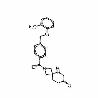 O=C1CCC2(CN(C(=O)c3ccc(COc4ccccc4C(F)(F)F)cc3)C2)NC1